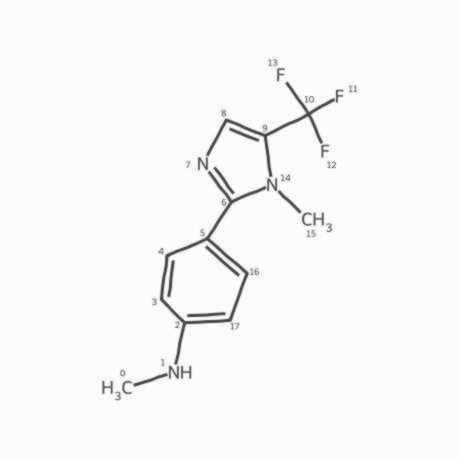 CNc1ccc(-c2ncc(C(F)(F)F)n2C)cc1